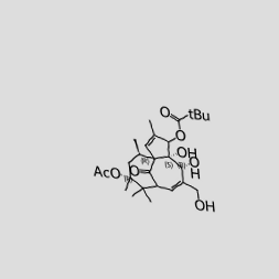 CC(=O)O[C@]1(C)C[C@@H](C)C23C=C(C)C(OC(=O)C(C)(C)C)[C@@]2(O)[C@H](O)C(CO)=CC(C3=O)C1(C)C